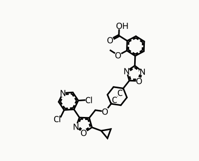 COc1c(C(=O)O)cccc1-c1noc(C23CCC(OCc4c(-c5c(Cl)cncc5Cl)noc4C4CC4)(CC2)CC3)n1